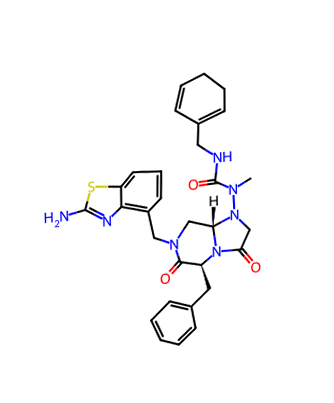 CN(C(=O)NCC1=CCCC=C1)N1CC(=O)N2[C@@H](Cc3ccccc3)C(=O)N(Cc3cccc4sc(N)nc34)C[C@@H]21